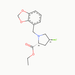 CCOC(=O)[C@H]1C[C@H](F)CN1Cc1cccc2c1OCO2